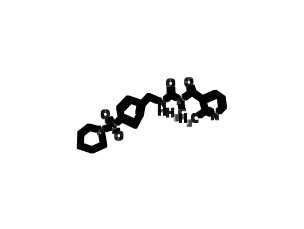 Cc1ncccc1C(=O)N(C)C(=O)NCc1ccc(S(=O)(=O)N2CCCCC2)cc1